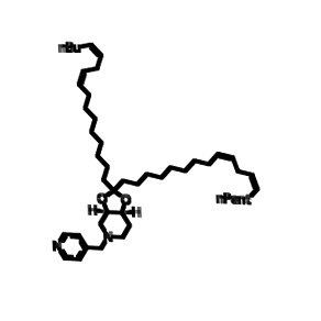 CCCC/C=C\C/C=C\CCCCCCCCC1(CCCCCCCC/C=C\C/C=C\CCCCC)O[C@H]2CN(Cc3ccncc3)CC[C@H]2O1